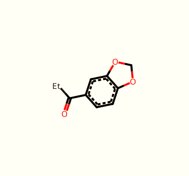 CCC(=O)c1ccc2c(c1)OCO2